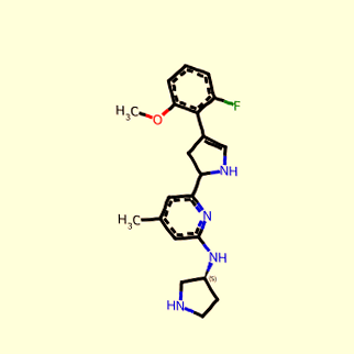 COc1cccc(F)c1C1=CNC(c2cc(C)cc(N[C@H]3CCNC3)n2)C1